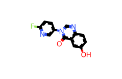 O=c1c2cc(O)ccc2ncn1-c1ccc(F)nc1